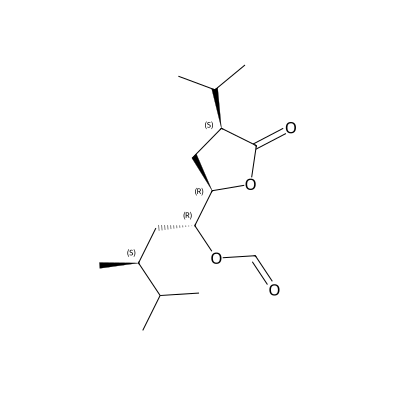 CC(C)[C@@H]1C[C@H]([C@@H](C[C@H](C)C(C)C)OC=O)OC1=O